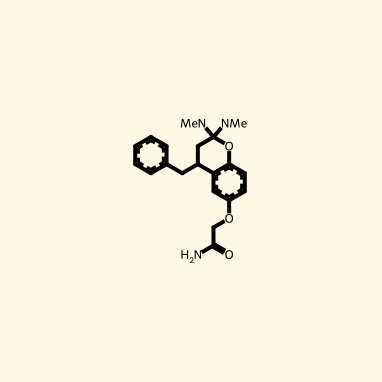 CNC1(NC)CC(Cc2ccccc2)c2cc(OCC(N)=O)ccc2O1